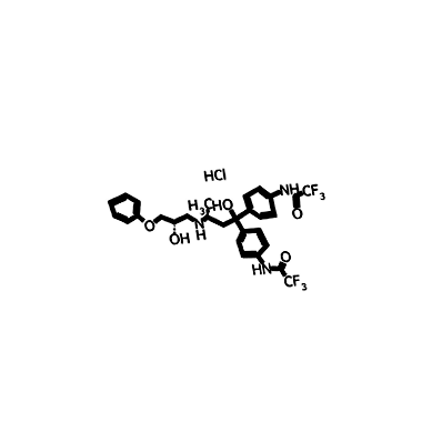 C[C@@H](CC(O)(c1ccc(NC(=O)C(F)(F)F)cc1)c1ccc(NC(=O)C(F)(F)F)cc1)NC[C@H](O)COc1ccccc1.Cl